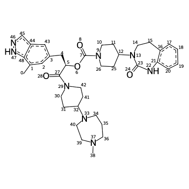 Cc1cc(C[C@@H](OC(=O)N2CCC(N3CCc4ccccc4NC3=O)CC2)C(=O)N2CCC(N3CCCN(C)CC3)CC2)cc2cn[nH]c12